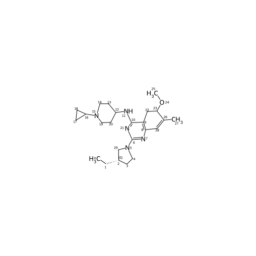 CC[C@H]1CCN(c2nc3c(c(NC4CCN(C5CC5)CC4)n2)CC(OC)C(C)=C3)C1